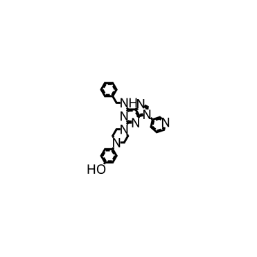 Oc1ccc(N2CCN(c3nc(NCc4ccccc4)c4ncn(-c5cccnc5)c4n3)CC2)cc1